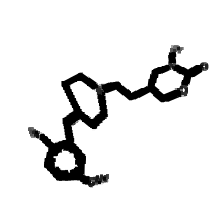 COc1ccc(Br)c(CC2CCN(CCC3COC(=O)N(C(C)C)C3)CC2)c1